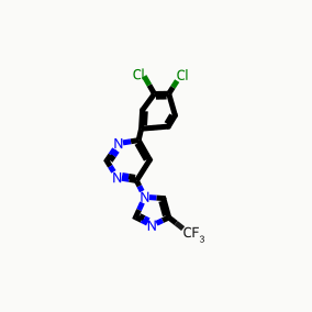 FC(F)(F)c1cn(-c2cc(-c3ccc(Cl)c(Cl)c3)ncn2)cn1